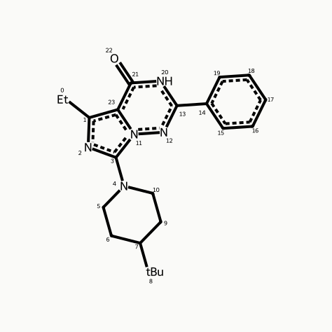 CCc1nc(N2CCC(C(C)(C)C)CC2)n2nc(-c3ccccc3)[nH]c(=O)c12